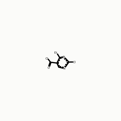 CCc1nc(Cl)ncc1C(=O)Cl